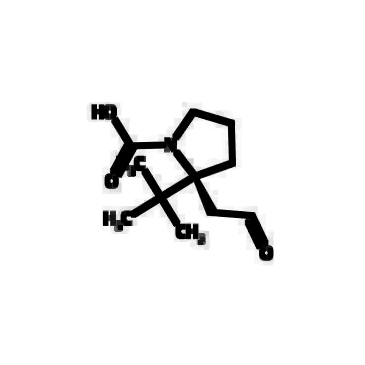 CC(C)(C)[C@@]1(CC=O)CCCN1C(=O)O